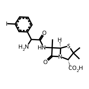 CC1(C)S[C@H]2N(C(=O)C2(C)NC(=O)C(N)c2cccc(I)c2)[C@H]1C(=O)O